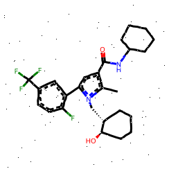 Cc1c(C(=O)NC2CCCCC2)cc(-c2cc(C(F)(F)F)ccc2F)n1C[C@@H]1CCCC[C@H]1O